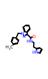 Cc1ccc(Cn2nc(C(=O)NCCc3ccc[nH]3)c3ccccc32)cc1